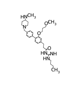 CCCCNC(=N)NC(=O)CCc1ccc(-c2ccc(CN3CCC(NC)CC3)cc2)c(OCCCOC)c1